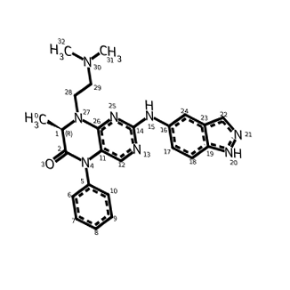 C[C@@H]1C(=O)N(c2ccccc2)c2cnc(Nc3ccc4[nH]ncc4c3)nc2N1CCN(C)C